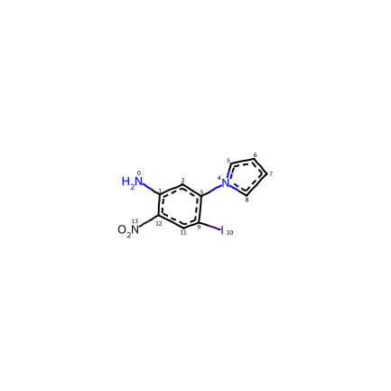 Nc1cc(-n2cccc2)c(I)cc1[N+](=O)[O-]